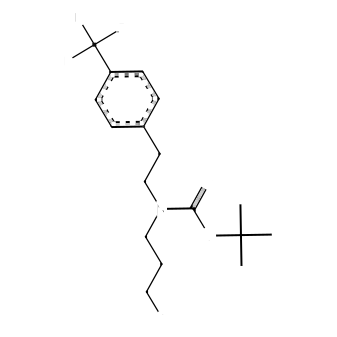 CC(C)(C)OC(=O)N(CCCO)CCc1ccc(C(F)(F)F)cc1